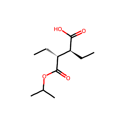 CC[C@H](C(=O)O)[C@@H](CC)C(=O)OC(C)C